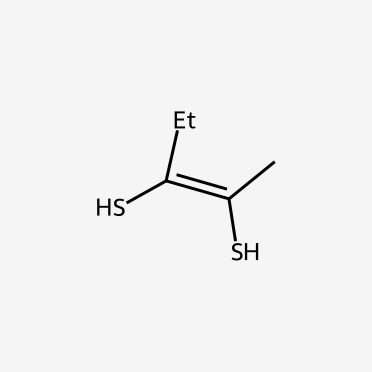 CC/C(S)=C(\C)S